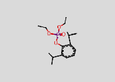 CCOP(=O)(OCC)Oc1c(C(C)C)cccc1C(C)C